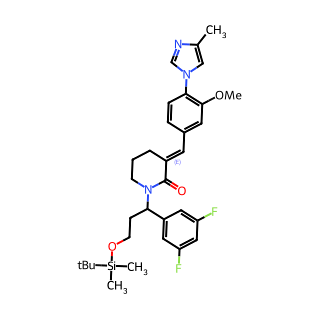 COc1cc(/C=C2\CCCN(C(CCO[Si](C)(C)C(C)(C)C)c3cc(F)cc(F)c3)C2=O)ccc1-n1cnc(C)c1